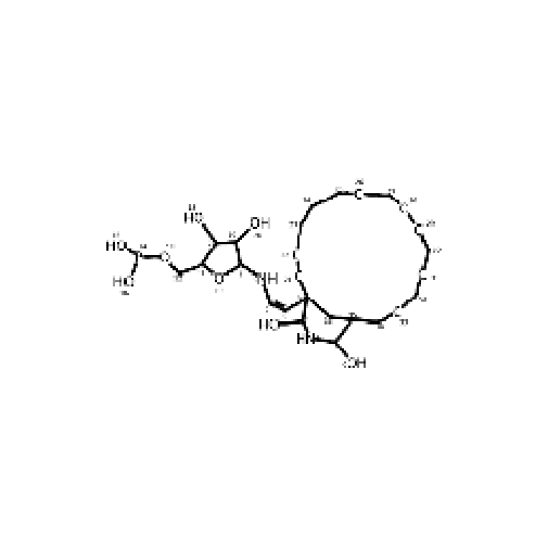 OC1NC(O)C2(/C=C\NC3OC(COP(O)O)C(O)C3O)CCCCCCCCCCCCCCC1C2